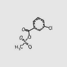 CS(=O)(=O)OC(=O)c1cccc(Cl)c1